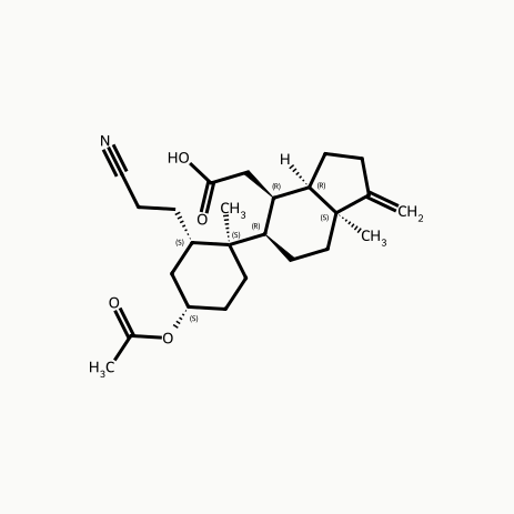 C=C1CC[C@@H]2[C@H](CC(=O)O)[C@H]([C@@]3(C)CC[C@H](OC(C)=O)C[C@@H]3CCC#N)CC[C@]12C